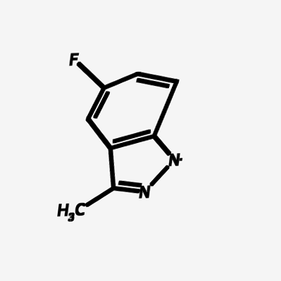 CC1=N[N]c2ccc(F)cc21